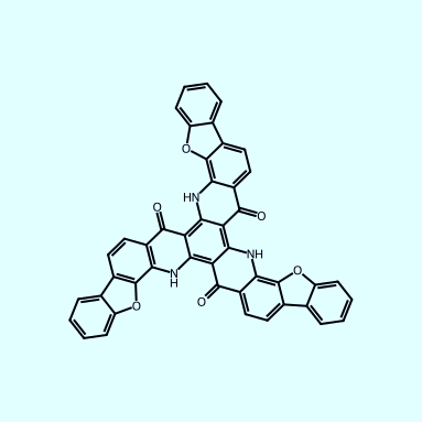 O=c1c2ccc3c4ccccc4oc3c2[nH]c2c1c1[nH]c3c(ccc4c5ccccc5oc43)c(=O)c1c1[nH]c3c(ccc4c5ccccc5oc43)c(=O)c21